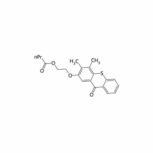 CCCC(=O)OCCOc1cc2c(=O)c3ccccc3sc2c(C)c1C